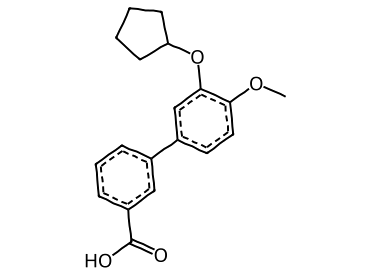 COc1ccc(-c2cccc(C(=O)O)c2)cc1OC1CCCC1